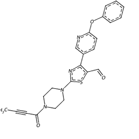 CC#CC(=O)N1CCN(c2nc(-c3ccc(Oc4ccccc4)nc3)c(C=O)s2)CC1